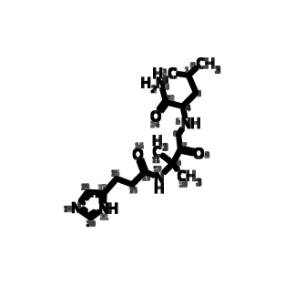 CC(C)CC(NCC(=O)C(C)(C)NC(=O)CCc1cnc[nH]1)C(N)=O